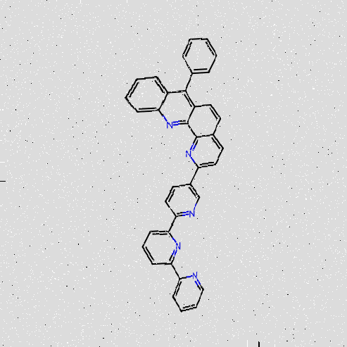 c1ccc(-c2c3ccccc3nc3c2ccc2ccc(-c4ccc(-c5cccc(-c6ccccn6)n5)nc4)nc23)cc1